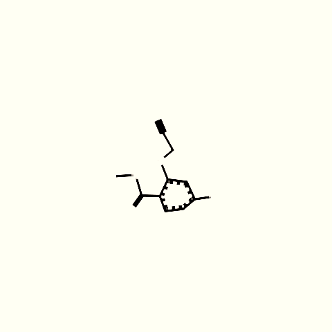 C#CCOc1cc(Cl)ccc1C(=O)OC